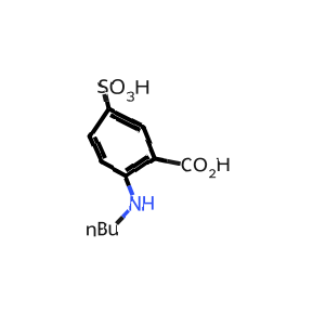 CCCCNc1ccc(S(=O)(=O)O)cc1C(=O)O